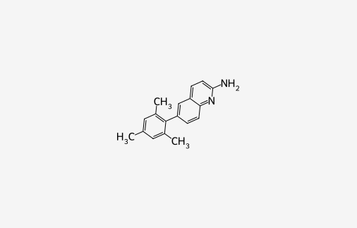 Cc1cc(C)c(-c2ccc3nc(N)ccc3c2)c(C)c1